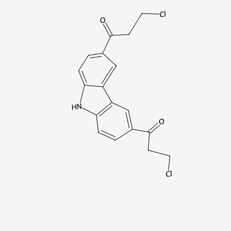 O=C(CCCl)c1ccc2[nH]c3ccc(C(=O)CCCl)cc3c2c1